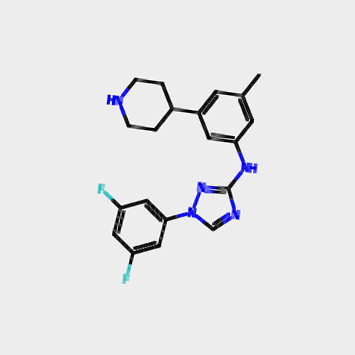 Cc1cc(Nc2ncn(-c3cc(F)cc(F)c3)n2)cc(C2CCNCC2)c1